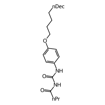 CCCCCCCCCCCCCCOc1ccc(NC(=O)NC(=O)CCC)cc1